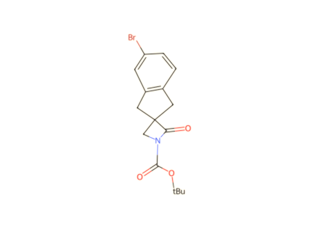 CC(C)(C)OC(=O)N1CC2(Cc3ccc(Br)cc3C2)C1=O